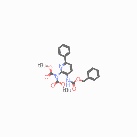 CC(C)(C)OC(=O)N(C(=O)OC(C)(C)C)c1nc(-c2ccccc2)ccc1NC(=O)OCc1ccccc1